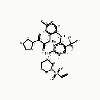 C=CS(=O)(=O)N1CCC[C@H](Nc2ncc(C(F)(F)F)c(Nc3ccc(C)cc3NC(=O)C(=C)C3CCCC3)n2)C1